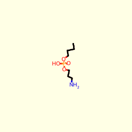 CCCCOP(=O)(O)OCCCN